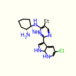 CCc1cnc(C2=CNC3NC=C(Cl)C=C23)nc1N[C@]1(N)CCCC[C@H]1N